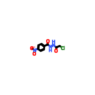 O=C(CCl)NNC(=O)c1ccc([N+](=O)[O-])cc1